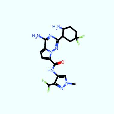 Cn1cc(NC(=O)c2ccc3c(N)nc(C4CC(F)(F)CCC4N)nn23)c(C(F)F)n1